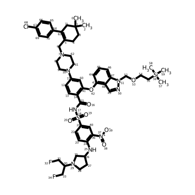 CC1(C)CCC(CN2CCN(c3ccc(C(=O)NS(=O)(=O)c4ccc(NC5CCN(C(CF)CF)C5)c([N+](=O)[O-])c4)c(Oc4cccc5c4cnn5COCC[Si](C)(C)C)c3)CC2)=C(c2ccc(Cl)cc2)C1